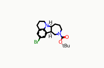 CC(C)(C)OC(=O)N1CCC[C@H]2[C@@H](C1)c1cc(Br)cc3c1N2CCC3